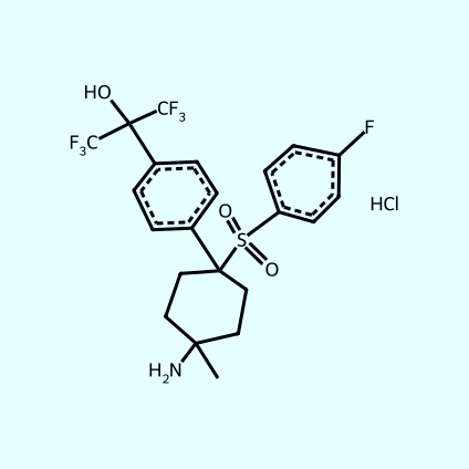 CC1(N)CCC(c2ccc(C(O)(C(F)(F)F)C(F)(F)F)cc2)(S(=O)(=O)c2ccc(F)cc2)CC1.Cl